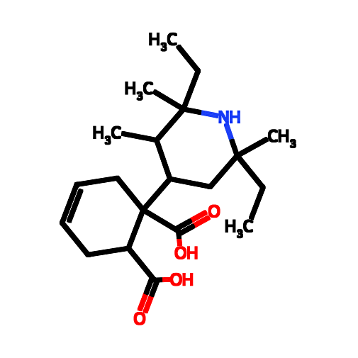 CCC1(C)CC(C2(C(=O)O)CC=CCC2C(=O)O)C(C)C(C)(CC)N1